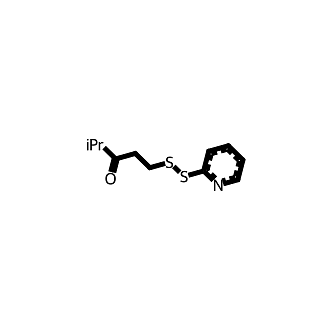 CC(C)C(=O)CCSSc1ccccn1